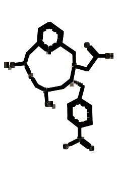 CN1CCN(C)C[C@@H](Cc2ccc([N+](=O)[O-])cc2)N(CC(=O)O)Cc2cccc(n2)C1